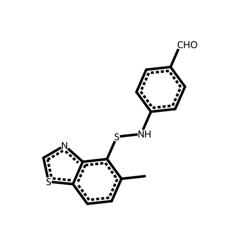 Cc1ccc2scnc2c1SNc1ccc(C=O)cc1